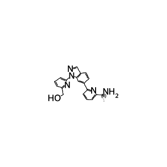 C[C@@H](N)c1cccc(-c2ccc3cnn(-c4cccc(CO)n4)c3c2)n1